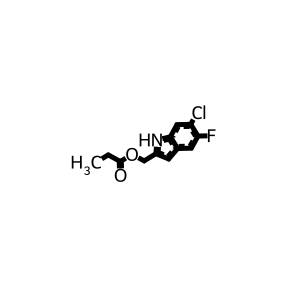 CCC(=O)OCc1cc2cc(F)c(Cl)cc2[nH]1